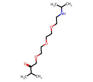 CC(C)NCCOCCOCCOCC(=O)C(C)C